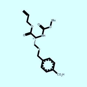 C=CCOC(=O)[C@@H](CSCc1ccc(C(=O)O)cc1)NC(=O)OC(C)(C)C